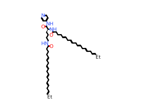 CCC=CCC=CCC=CCC=CCC=CCCCC(=O)NCCCC[C@H](NC(=O)CCCC=CCC=CCC=CCC=CCC=CCC)C(=O)Nc1ccncc1